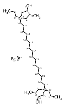 CCC[N+](CCC)(CCO)CCCCCCCCCCCCCCCC[N+](CCC)(CCC)CCO.[Br-].[Br-]